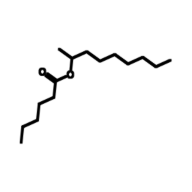 CCCCCCCC(C)OC(=O)CCCCC